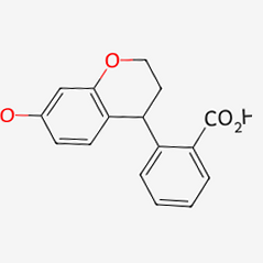 O=C(O)c1ccccc1C1CCOc2cc(O)ccc21